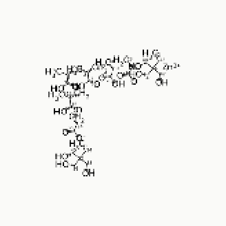 C=C(C)C(=O)O.C=C(C)C(=O)O.C=C(C)C(=O)O.C=CC(=O)O.C=CC(=O)[O-].C=CC(=O)[O-].CCC(CO)(CO)CO.CCC(CO)(CO)CO.[Zn+2]